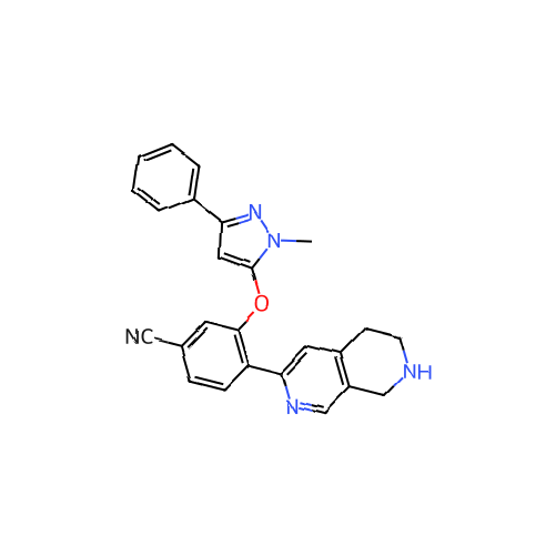 Cn1nc(-c2ccccc2)cc1Oc1cc(C#N)ccc1-c1cc2c(cn1)CNCC2